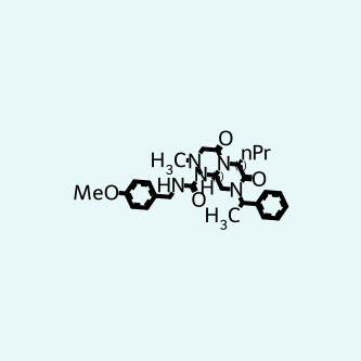 CCC[C@H]1C(=O)N(C(C)c2ccccc2)C[C@H]2N1C(=O)CN(C)N2C(=O)NCc1ccc(OC)cc1